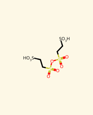 O=S(=O)(O)CCS(=O)(=O)OS(=O)(=O)CCS(=O)(=O)O